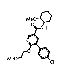 COCCOc1ncc(C(=O)N[C@@H]2CCCC[C@H]2OC)cc1-c1ccc(Cl)cc1